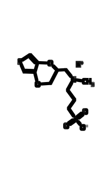 CN(CCCS(=O)(=O)[O-])CC1COc2cscc2O1.[K+]